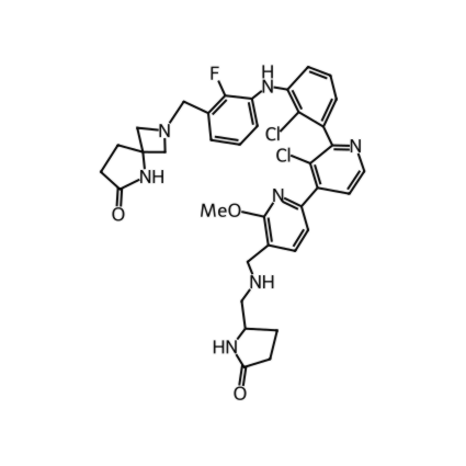 COc1nc(-c2ccnc(-c3cccc(Nc4cccc(CN5CC6(CCC(=O)N6)C5)c4F)c3Cl)c2Cl)ccc1CNCC1CCC(=O)N1